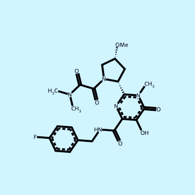 CO[C@@H]1C[C@H](c2nc(C(=O)NCc3ccc(F)cc3)c(O)c(=O)n2C)N(C(=O)C(=O)N(C)C)C1